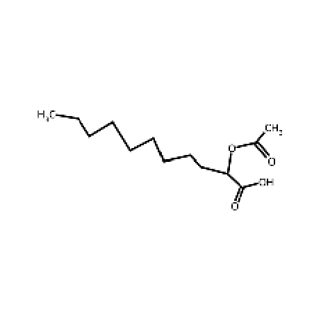 CCCCCCCCCC(OC(C)=O)C(=O)O